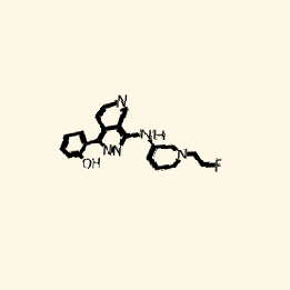 Oc1ccccc1-c1nnc(N[C@@H]2CCCN(CCF)C2)c2cnccc12